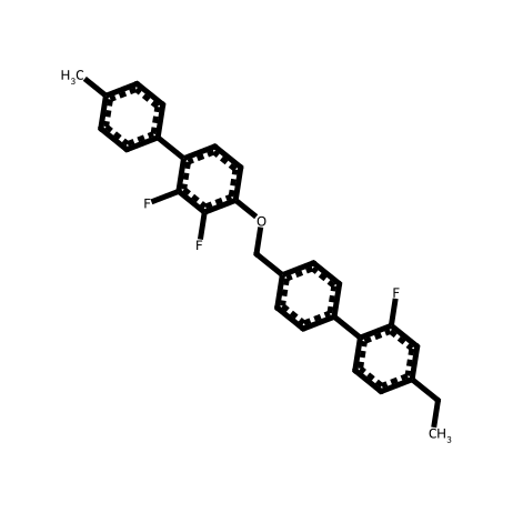 CCc1ccc(-c2ccc(COc3ccc(-c4ccc(C)cc4)c(F)c3F)cc2)c(F)c1